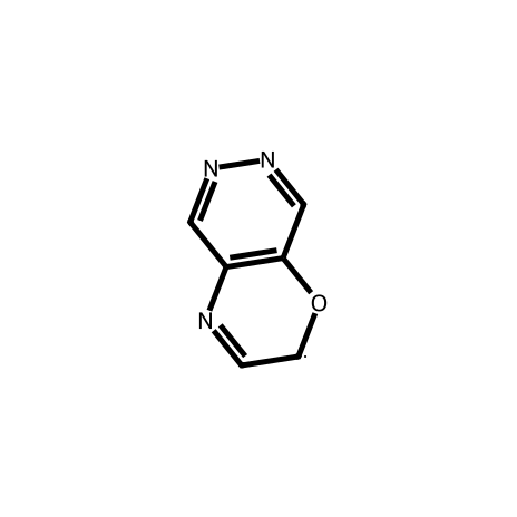 [CH]1C=Nc2cnncc2O1